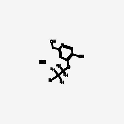 Cl.[2H]C([2H])(Br)C([2H])([2H])Oc1cc(CO)ncc1O